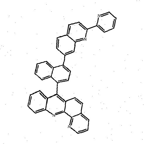 c1ccc(-c2ccc3ccc(-c4ccc(-c5c6ccccc6nc6c5ccc5cccnc56)c5ccccc45)cc3n2)nc1